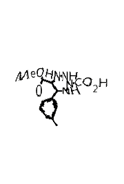 COC(=O)C1NNN(C(=O)O)NC1c1cccc(C)c1